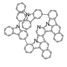 c1ccc(-n2c3ccccc3c3cc(-c4cccc5c6c7ccccc7cc7c8c9c%10c%11ccccc%11cc%11c%12cccc(-c%13ccc%14c(c%13)c%13ccccc%13n%14-c%13ccccc%13)c%12n(c9ncc8n(c45)c76)c%11%10)ccc32)cc1